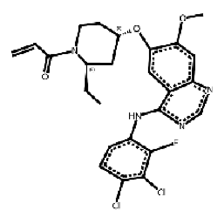 C=CC(=O)N1CC[C@H](Oc2cc3c(Nc4ccc(Cl)c(Cl)c4F)ncnc3cc2OC)C[C@H]1CC